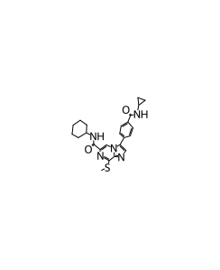 CSc1nc(C(=O)NC2CCCCC2)cn2c(-c3ccc(C(=O)NC4CC4)cc3)cnc12